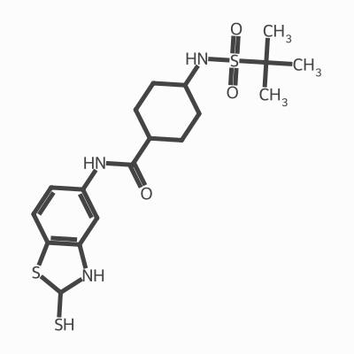 CC(C)(C)S(=O)(=O)NC1CCC(C(=O)Nc2ccc3c(c2)NC(S)S3)CC1